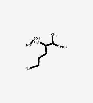 CCCCCC(C)C(C)CC[CH2][Na].O=S(=O)(O)O